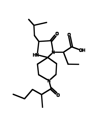 CCCC(C)C(=O)N1CCC2(CC1)NC(CC(C)C)C(=O)N2C(CC)C(=O)O